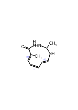 C\C1=C/C=C\C=C\NC(C)NNC1=O